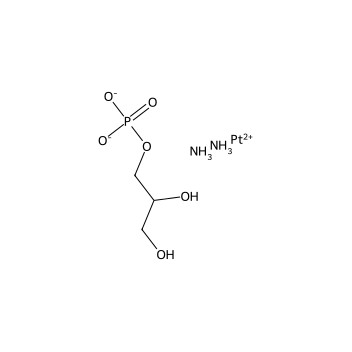 N.N.O=P([O-])([O-])OCC(O)CO.[Pt+2]